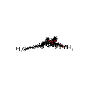 CCCCCCCCCCCCCCCCCCOC(=O)c1ccc(C[N+]2=c3c(c4c(c5ccccc35)=Cc3c(c5c(c6cc7ccccc7cc36)N(CCCCCCCCCCCC)CC5(C)C)O4)C(C)(C)C2)cc1